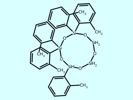 Cc1ccccc1[SiH]1O[SiH2]O[SiH2]O[Si](c2ccccc2C)(c2ccccc2C)O[Si](c2ccccc2C)(c2ccccc2C)O1